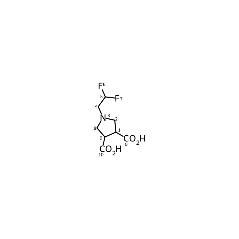 O=C(O)C1CN(CC(F)F)CC1C(=O)O